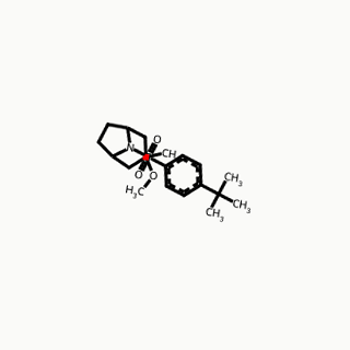 COC1(C)CC2CCC(C1)N2S(=O)(=O)c1ccc(C(C)(C)C)cc1